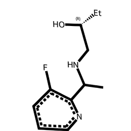 CC[C@@H](O)CNC(C)c1ncccc1F